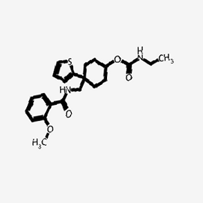 CCNC(=O)OC1CCC(CNC(=O)c2ccccc2OC)(c2cccs2)CC1